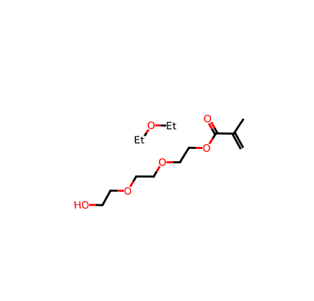 C=C(C)C(=O)OCCOCCOCCO.CCOCC